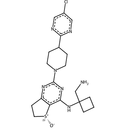 NCC1(Nc2nc(N3CCC(c4ncc(Cl)cn4)CC3)nc3c2[S@+]([O-])CC3)CCC1